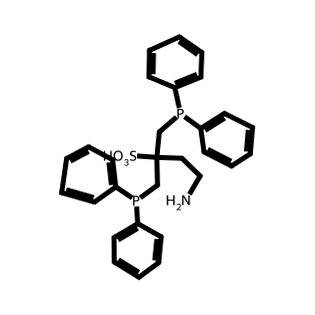 NCCC(CP(c1ccccc1)c1ccccc1)(CP(c1ccccc1)c1ccccc1)S(=O)(=O)O